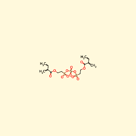 C=CC(=C)C(=O)OCCS(=O)(=O)OS(=O)(=O)OS(=O)(=O)CCOC(=O)C(=C)C=C